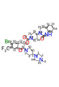 CN1CCN(C2CCN(C(=O)[C@@H](Cc3ccc(C(F)(F)F)c(Br)c3)OC(=O)N3CCC(N4CCc5ccccc5NC4=O)CC3)CC2)CC1